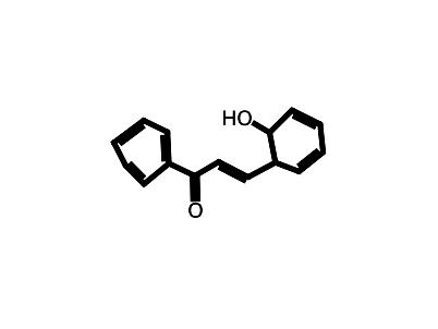 O=C(C=CC1C=CC=CC1O)c1ccccc1